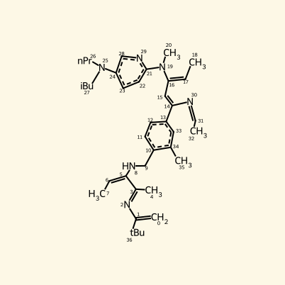 C=C(/N=C(C)/C(=C\C)NCc1ccc(C(=C/C(=C/C)N(C)c2ccc(N(CCC)C(C)CC)cn2)/N=C\C)cc1C)C(C)(C)C